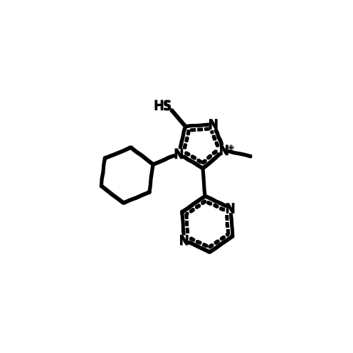 C[n+]1nc(S)n(C2CCCCC2)c1-c1cnccn1